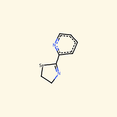 c1ccc(C2=NCC[Se]2)nc1